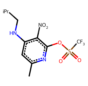 Cc1cc(NCC(C)C)c([N+](=O)[O-])c(OS(=O)(=O)C(F)(F)F)n1